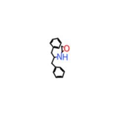 c1ccc(CC(Cc2ccccc2)NC2CO2)cc1